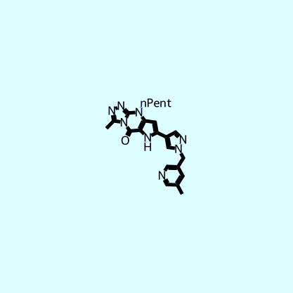 CCCCCn1c2cc(-c3cnn(Cc4cncc(C)c4)c3)[nH]c2c(=O)n2c(C)nnc12